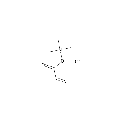 C=CC(=O)O[N+](C)(C)C.[Cl-]